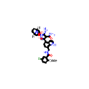 COc1ccc(F)cc1C(=O)NCc1ccc(-c2nn(C3C[C@H]4CC[C@@H](C3)N4C(=O)OC(C)(C)C)c(N)c2C(N)=O)c2cc[nH]c12